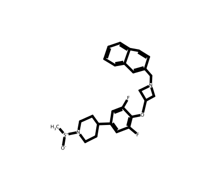 C[S+]([O-])N1CCC(c2cc(F)c(OC3CN(Cc4ccc5ccccc5c4)C3)c(F)c2)CC1